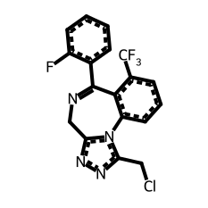 Fc1ccccc1C1=NCc2nnc(CCl)n2-c2cccc(C(F)(F)F)c21